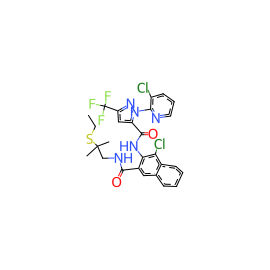 CCSC(C)(C)CNC(=O)c1cc2ccccc2c(Cl)c1NC(=O)c1cc(C(F)(F)F)nn1-c1ncccc1Cl